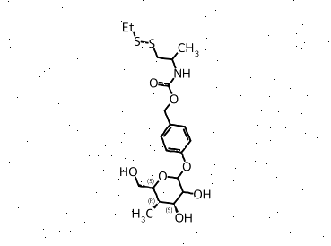 CCSSCC(C)NC(=O)OCc1ccc(OC2O[C@H](CO)[C@H](C)[C@H](O)C2O)cc1